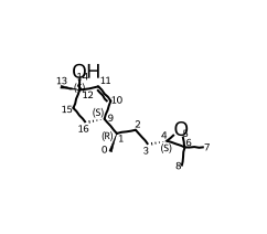 C[C@H](CC[C@@H]1OC1(C)C)[C@H]1C=C[C@@](C)(O)CC1